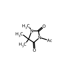 CC(=O)N1C(=O)N(C)C(C)(C)C1=O